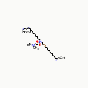 CCCCC/C=C\C/C=C\CCCCCCCCN(CCSCCCCCCCC/C=C\CCCCCCCC)S(=O)(=O)CCN(C)CCC